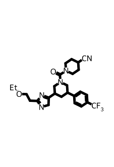 CCOCCC1=NCC(C2CC(c3ccc(C(F)(F)F)cc3)CN(C(=O)N3CCC(C#N)CC3)C2)=N1